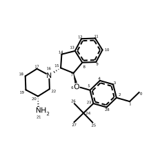 CCc1ccc(O[C@@H]2c3ccccc3C[C@H]2N2CCC[C@@H](N)C2)c(C(C)(C)C)c1